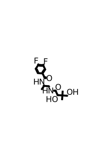 CC(CNC(=O)C(O)C(C)(C)CO)NC(=O)c1ccc(F)c(F)c1